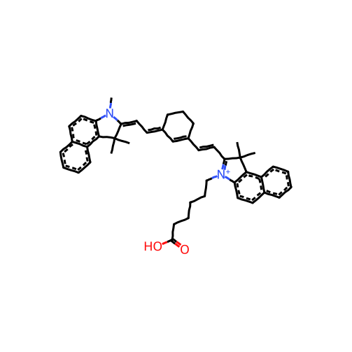 CN1/C(=C/C=C2C=C(/C=C/C3=[N+](CCCCCC(=O)O)c4ccc5ccccc5c4C3(C)C)CCC/2)C(C)(C)c2c1ccc1ccccc21